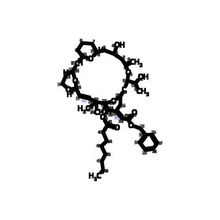 C=C1CC(O)C[C@@H]2CCC[C@H](C[C@@H]3CCO[C@H](/C=C/C(C)(C)[C@]4(O)OC(C/C(=C\C(=O)OCc5ccccc5)[C@@H]4OC(=O)CCCCCCC)CC(C(C)O)O1)O3)O2